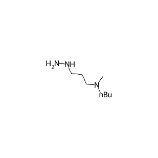 CCCCN(C)CCCNN